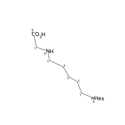 CCCCCCCCCCCNCC(=O)O